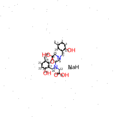 Cc1ccc(O)c(CN(CCN(CC(=O)O)Cc2cc(C)ccc2O)CC(=O)O)c1.[NaH]